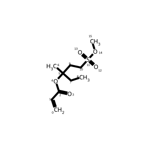 C=CC(=O)OC(C)(CC)CCS(=O)(=O)OC